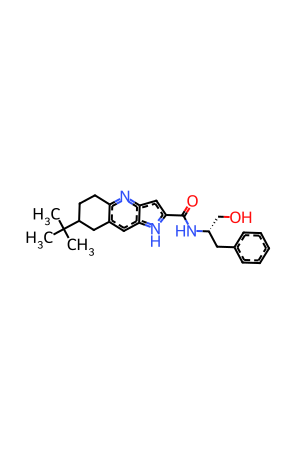 CC(C)(C)C1CCc2nc3cc(C(=O)N[C@H](CO)Cc4ccccc4)[nH]c3cc2C1